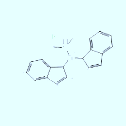 C[SiH](C)[Zr]([CH]1C=Cc2ccccc21)[CH]1C=Cc2ccccc21.Cl